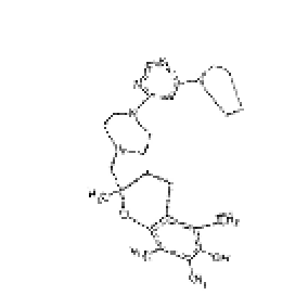 Cc1c(C)c2c(c(C)c1O)CCC(C)(CN1CCN(c3cc(N4CCCC4)ncn3)CC1)O2